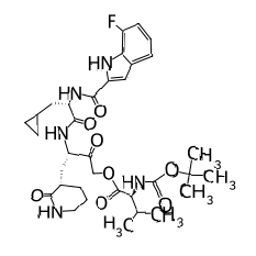 CC(C)[C@H](NC(=O)OC(C)(C)C)C(=O)OCC(=O)[C@H](C[C@@H]1CCCNC1=O)NC(=O)[C@H](CC1CC1)NC(=O)c1cc2cccc(F)c2[nH]1